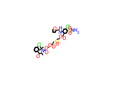 CC(C(=O)c1cccc(Cl)c1)N(C(=O)OCOC(=O)C[S+]([O-])CCOC(=O)c1cc(S(N)(=O)=O)c(Cl)cc1NCc1ccco1)C(C)(C)C